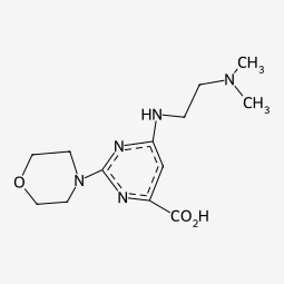 CN(C)CCNc1cc(C(=O)O)nc(N2CCOCC2)n1